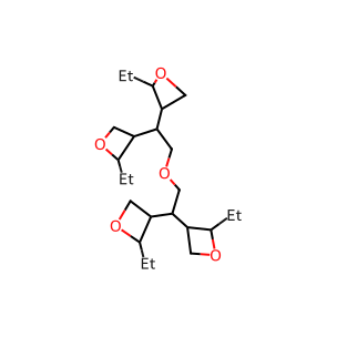 CCC1OCC1C(COCC(C1COC1CC)C1COC1CC)C1COC1CC